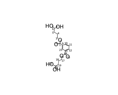 O=C(OCCCC(O)O)c1cccc(C(=O)OCCCC(O)O)c1